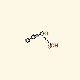 O=C(O)CCCCCCC1C(=O)CCC1/C=C/c1ccc(-c2ccccc2)cc1